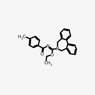 CCOC(=NC(=O)c1ccc(C)cc1)N1Cc2ccccc2-c2ccccc2C1